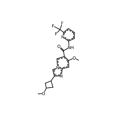 COc1cc2nc(C3CC(OC)C3)cn2cc1C(=O)Nc1cccc(C(F)(F)F)n1